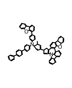 CC1C=C(C2C=CC3=C(C2)c2ccc4c(c2-c2cccc5c6ccccc6n3c25)OC2C=CC=CC42)C=CC1N(c1ccc(-c2ccc(-c3ccccc3)cc2)cc1)c1ccc(-c2cccc3c2oc2ccccc23)cc1